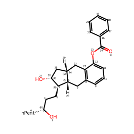 CCCCC[C@@H](O)CC[C@@H]1[C@H]2Cc3cccc(OC(=O)c4ccccc4)c3C[C@H]2C[C@H]1O